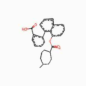 CC1CCC(C(=O)Oc2cccc3cccc(-c4ccccc4C(=O)O)c23)CC1